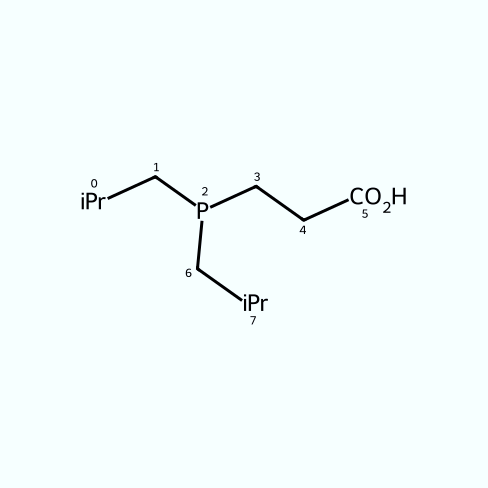 CC(C)CP(CCC(=O)O)CC(C)C